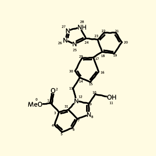 COC(=O)c1cccc2nc(CO)n(Cc3ccc(-c4ccccc4-c4nnn[nH]4)cc3)c12